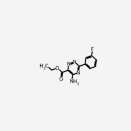 CCOC(=O)c1nnc(-c2cccc(F)c2)nc1N